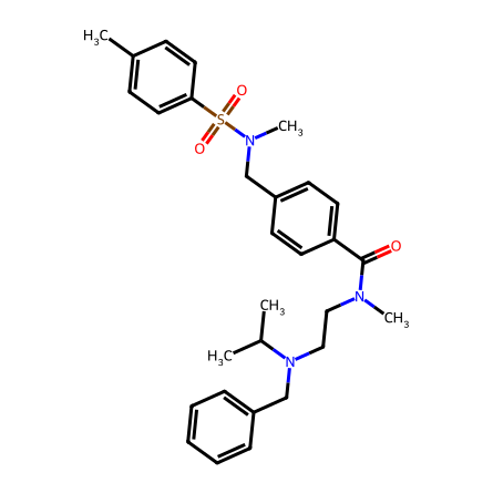 Cc1ccc(S(=O)(=O)N(C)Cc2ccc(C(=O)N(C)CCN(Cc3ccccc3)C(C)C)cc2)cc1